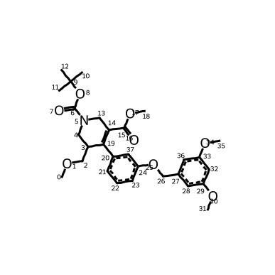 COCC1CN(C(=O)OC(C)(C)C)CC(C(=O)OC)=C1c1cccc(OCc2cc(OC)cc(OC)c2)c1